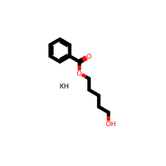 O=C(OCCCCCO)c1ccccc1.[KH]